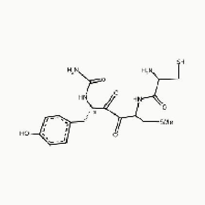 CSCC(NC(=O)C(N)CS)C(=O)C(=O)[C@H](Cc1ccc(O)cc1)NC(N)=O